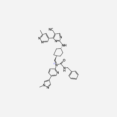 Cc1cc(-c2nc(N[C@H]3CC[C@H](/C=[N+](\C(=O)NCc4ccccc4)c4ccc(-c5cnn(C)c5)cn4)CC3)ncc2C#N)cnn1